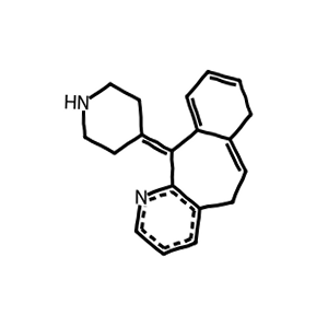 C1=CCC2=CCc3cccnc3C(=C3CCNCC3)C2=C1